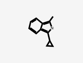 CC1=c2ccccc2=C(C2CC2)[N]1